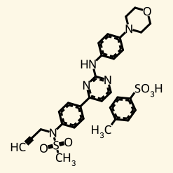 C#CCN(c1ccc(-c2ccnc(Nc3ccc(N4CCOCC4)cc3)n2)cc1)S(C)(=O)=O.Cc1ccc(S(=O)(=O)O)cc1